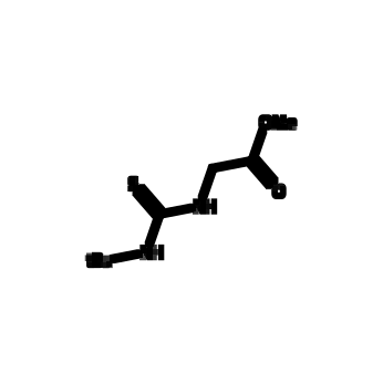 COC(=O)CNC(=S)NC(C)(C)C